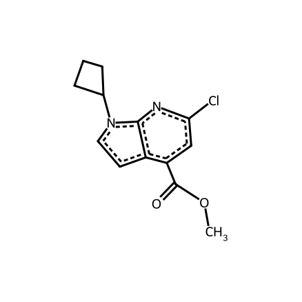 COC(=O)c1cc(Cl)nc2c1ccn2C1CCC1